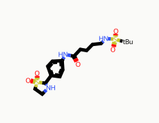 CC(C)(C)S(=O)(=O)NCCCCC(=O)Nc1ccc(C2NCCS2(=O)=O)cc1